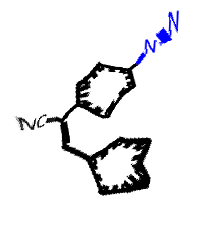 N#CC(=Cc1ccccc1)c1ccc([N+]#N)cc1